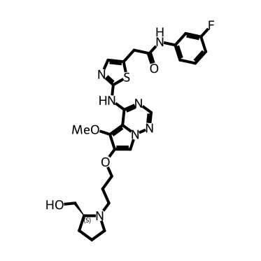 COc1c(OCCCN2CCC[C@H]2CO)cn2ncnc(Nc3ncc(CC(=O)Nc4cccc(F)c4)s3)c12